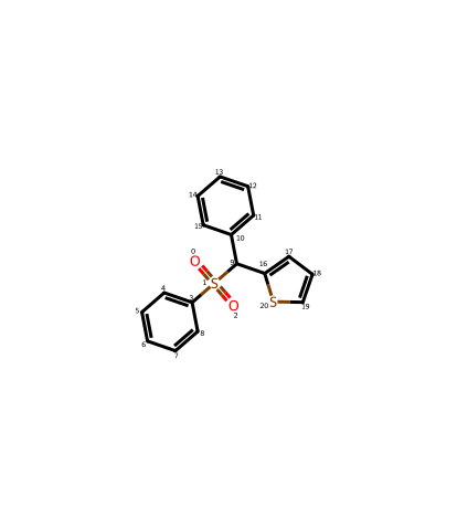 O=S(=O)(c1ccccc1)C(c1ccccc1)c1cccs1